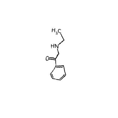 CCNCC(=O)c1ccccc1